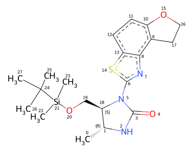 C[C@H]1NC(=O)N(c2nc3c4c(ccc3s2)OCC4)[C@@H]1CO[Si](C)(C)C(C)(C)C